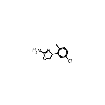 Cc1ccc(Cl)cc1[C@H]1COC(N)=N1